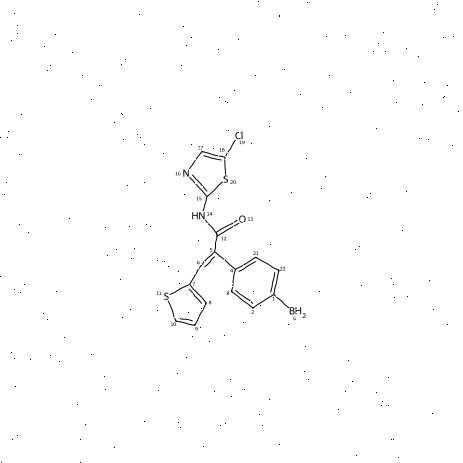 Bc1ccc(/C(=C\c2cccs2)C(=O)Nc2ncc(Cl)s2)cc1